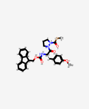 CCSC(=O)N1CCCN1C(=O)[C@H](Cc1ccc(OC(C)(C)C)cc1)NC(=O)OCC1c2ccccc2-c2ccccc21